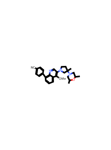 COc1c(N2CCC(C)(N3CC(C)OC(C)C3)C2)cnc2c(-c3ccc(C#N)cc3)cccc12